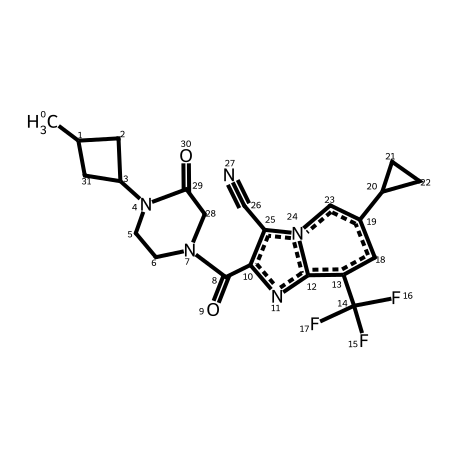 CC1CC(N2CCN(C(=O)c3nc4c(C(F)(F)F)cc(C5CC5)cn4c3C#N)CC2=O)C1